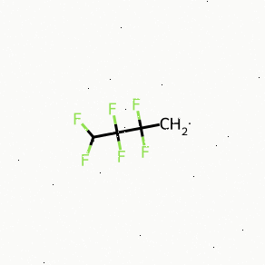 [CH2]C(F)(F)C(F)(F)[C](F)F